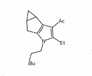 CCc1c(C(C)=O)c2c(n1CCC(C)CC)CC1CC21